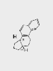 c1ccc2c3c(ccc2c1)[C@@H]1CCC[C@H]1CC3